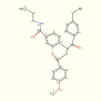 CC(C)Cc1ccc(C(=O)C(CC(=O)c2ccc(OC(F)(F)F)cc2)c2ccc(C(=O)NCCC(=O)O)cc2)cc1